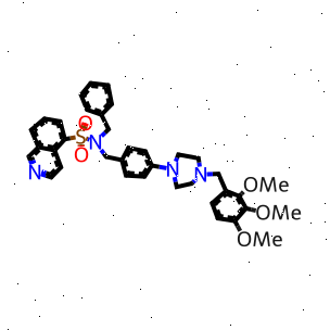 COc1ccc(CN2CCN(c3ccc(CN(Cc4ccccc4)S(=O)(=O)c4cccc5cnccc45)cc3)CC2)c(OC)c1OC